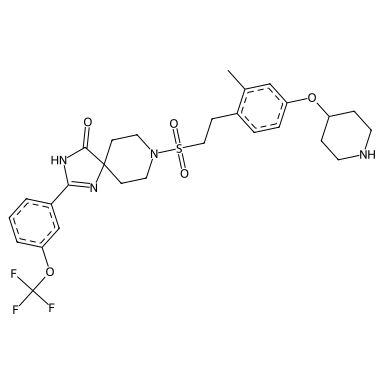 Cc1cc(OC2CCNCC2)ccc1CCS(=O)(=O)N1CCC2(CC1)N=C(c1cccc(OC(F)(F)F)c1)NC2=O